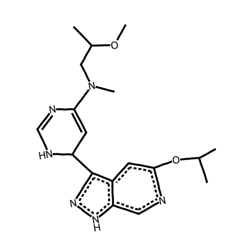 COC(C)CN(C)C1=CC(c2n[nH]c3cnc(OC(C)C)cc23)NC=N1